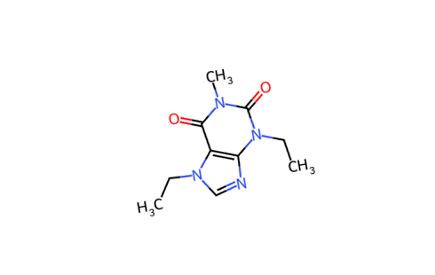 CCn1cnc2c1c(=O)n(C)c(=O)n2CC